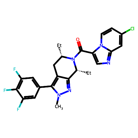 CC[C@H]1Cc2c(nn(C)c2-c2cc(F)c(F)c(F)c2)[C@@H](CC)N1C(=O)c1cnc2cc(Cl)ccn12